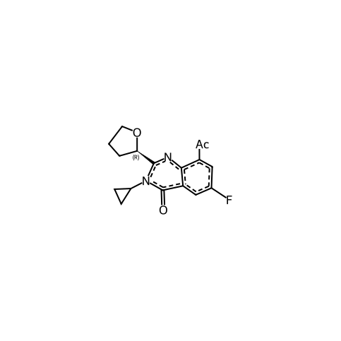 CC(=O)c1cc(F)cc2c(=O)n(C3CC3)c([C@H]3CCCO3)nc12